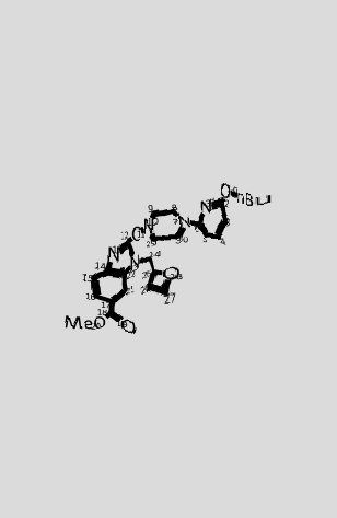 CCCCOc1cccc(N2CCN(Cc3nc4ccc(C(=O)OC)cc4n3C[C@@H]3CCO3)CC2)n1